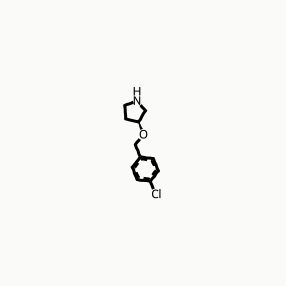 Clc1ccc(CO[C@H]2CCNC2)cc1